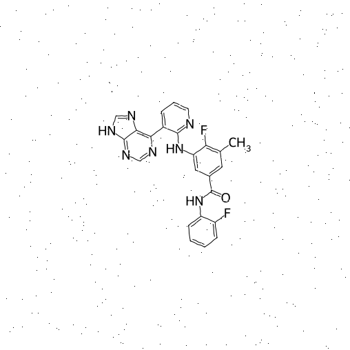 Cc1cc(C(=O)Nc2ccccc2F)cc(Nc2ncccc2-c2ncnc3[nH]cnc23)c1F